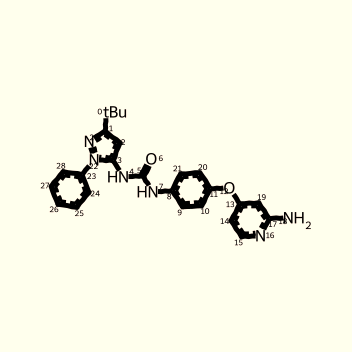 CC(C)(C)c1cc(NC(=O)Nc2ccc(Oc3ccnc(N)c3)cc2)n(-c2ccccc2)n1